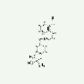 CC(C)(C)CN1CCC(Oc2ccnc3c(CF)cccc23)CC1